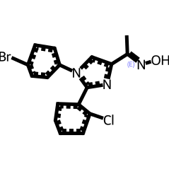 C/C(=N\O)c1cn(-c2ccc(Br)cc2)c(-c2ccccc2Cl)n1